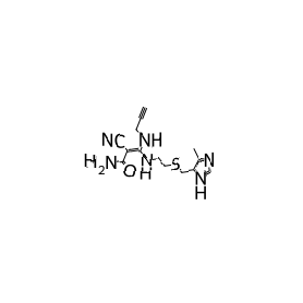 C#CCNC(NCCSCc1[nH]cnc1C)=C(C#N)C(N)=O